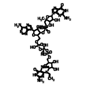 C=CN(c1nc(N)[nH]c(=O)c1NC)[C@H]1O[C@@H](COP(=O)(O)OP(=O)(O)OP(=O)(O)OC[C@H]2O[C@@H](n3cnc4c(N)ncnc43)[C@@H](OC)[C@H]2OP(=O)(O)OC[C@@]2(C)O[C@@H](n3cnc4c(=O)[nH]c(N)nc43)[C@@H](O)[C@H]2O)C(O)C1O